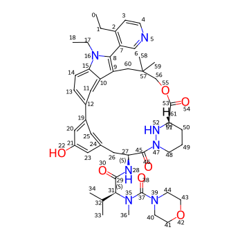 CCc1ccncc1-c1c2c3cc(ccc3n1CC)-c1cc(O)cc(c1)C[C@H](NC(=O)[C@H](C(C)C)N(C)C(=O)N1CCOCC1)C(=O)N1CCC[C@H](N1)C(=O)OCC(C)(C)C2